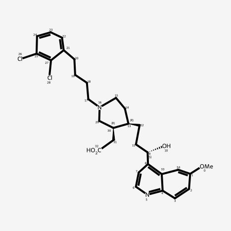 COc1ccc2nccc([C@@H](O)CC[C@@H]3CCN(CCCCc4cccc(Cl)c4Cl)C[C@@H]3CC(=O)O)c2c1